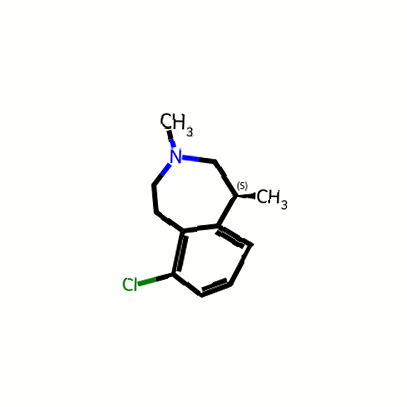 C[C@@H]1CN(C)CCc2c(Cl)cccc21